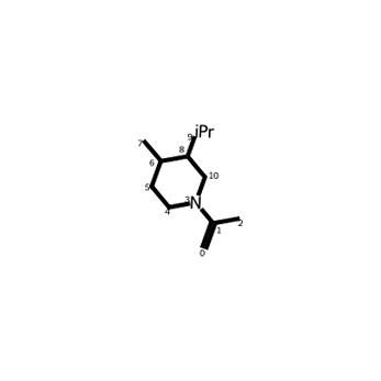 C=C(C)N1CCC(C)C(C(C)C)C1